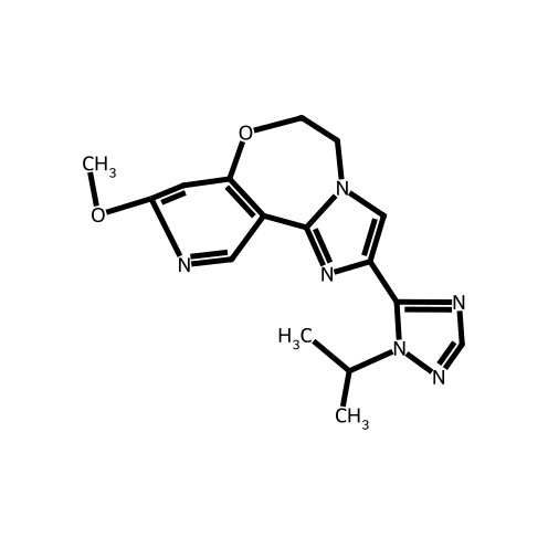 COc1cc2c(cn1)-c1nc(-c3ncnn3C(C)C)cn1CCO2